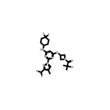 CCC(C)(C)C(=O)N1CC(Oc2cc(NC3CCC(F)(F)CC3)nc(-n3cc(C)c(C(F)F)n3)n2)C1